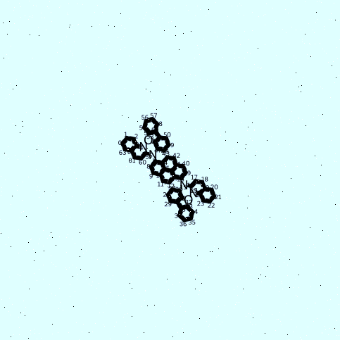 c1ccc2nc(N(c3ccc4ccc5c(N(c6ccc7ccccc7n6)c6cccc7c6oc6ccccc67)ccc6ccc3c4c65)c3cccc4c3oc3ccccc34)ccc2c1